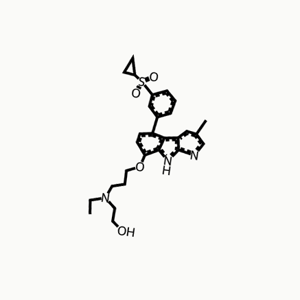 CCN(CCO)CCCOc1ccc(-c2cccc(S(=O)(=O)C3CC3)c2)c2c1[nH]c1ncc(C)cc12